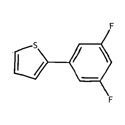 Fc1cc(F)cc(-c2cc[c]s2)c1